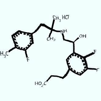 Cc1ccc(CC(C)(C)NC[C@@H](O)c2cc(CCC(=O)O)cc(F)c2F)cc1F.Cl